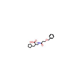 O=C(CCOCc1ccccc1)NCC(CC1CCCC1)C(=O)O